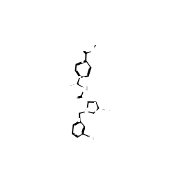 COC(=O)c1ccc([C@H](C)NC(=O)[C@H]2C[C@@H](O)CN2Cc2cccc(Br)c2)cc1